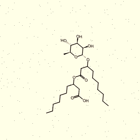 CCCCCCCC(CC(=O)O)OC(=O)CC(CCCCCCC)O[C@@H]1O[C@@H](C)[C@H](O)[C@@H](O)[C@H]1O